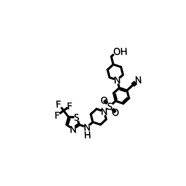 N#Cc1ccc(S(=O)(=O)N2CCC(Nc3ncc(C(F)(F)F)s3)CC2)cc1N1CCC(CO)CC1